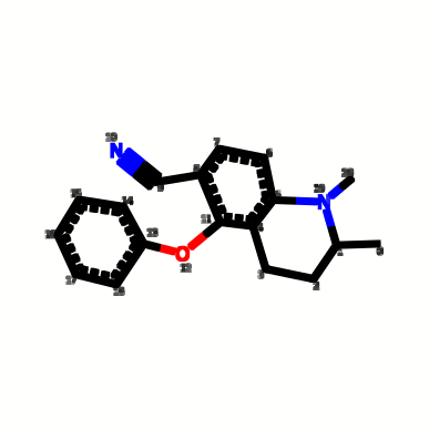 CC1CCc2c(ccc(C#N)c2Oc2ccccc2)N1C